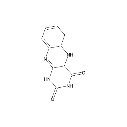 O=C1NC(=O)C2NC3CC=CC=C3N=C2N1